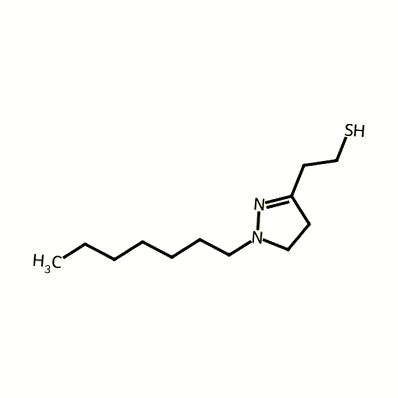 CCCCCCCN1CCC(CCS)=N1